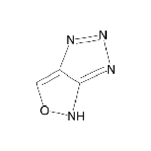 c1o[nH]c2nnnc1-2